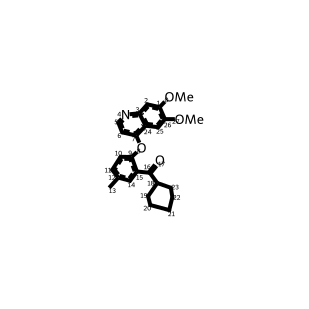 COc1cc2nccc(Oc3ccc(C)cc3C(=O)C3CCCCC3)c2cc1OC